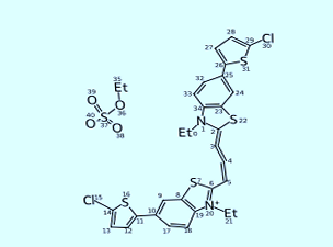 CCN1C(=C=C=Cc2sc3cc(-c4ccc(Cl)s4)ccc3[n+]2CC)Sc2cc(-c3ccc(Cl)s3)ccc21.CCOS(=O)(=O)[O-]